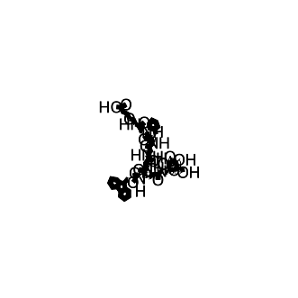 O=C(O)CCOCNC(=O)CNC(=O)[C@H](Cc1ccccc1)NC(=O)CNC(=O)CNC(=O)[C@H](CCC(=O)NC[C@@H]1O[C@H](CO)[C@@H](O)[C@H](O)[C@H]1O)NC(=O)OCC1c2ccccc2-c2ccccc21